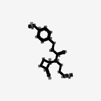 O=C(O)CCN(C(=O)OCc1ccc([N+](=O)[O-])cc1)N1CCC1=O